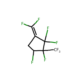 FC(F)=C1CC(F)C(F)(C(F)(F)F)C1(F)F